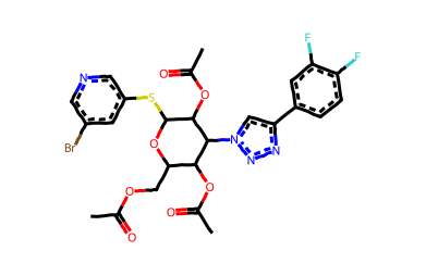 CC(=O)OCC1OC(Sc2cncc(Br)c2)C(OC(C)=O)C(n2cc(-c3ccc(F)c(F)c3)nn2)C1OC(C)=O